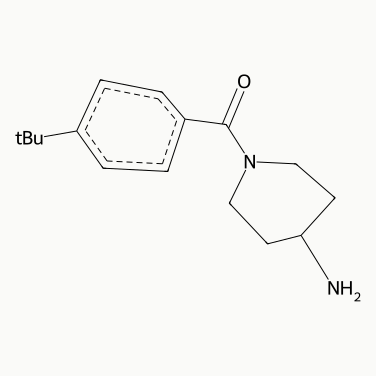 CC(C)(C)c1ccc(C(=O)N2CCC(N)CC2)cc1